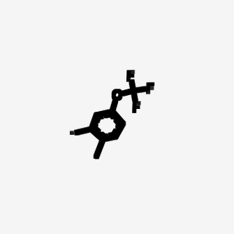 [CH2]c1cc(OC(F)(F)F)ccc1C